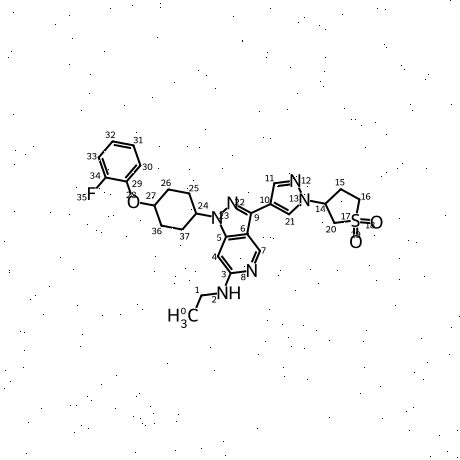 CCNc1cc2c(cn1)c(-c1cnn(C3CCS(=O)(=O)C3)c1)nn2C1CCC(Oc2ccccc2F)CC1